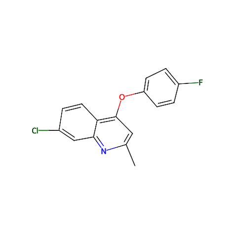 Cc1cc(Oc2ccc(F)cc2)c2ccc(Cl)cc2n1